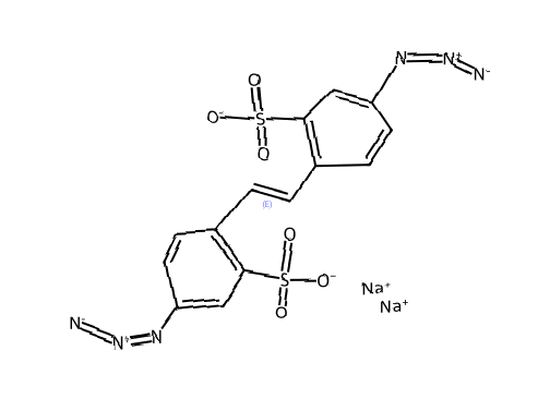 [N-]=[N+]=Nc1ccc(/C=C/c2ccc(N=[N+]=[N-])cc2S(=O)(=O)[O-])c(S(=O)(=O)[O-])c1.[Na+].[Na+]